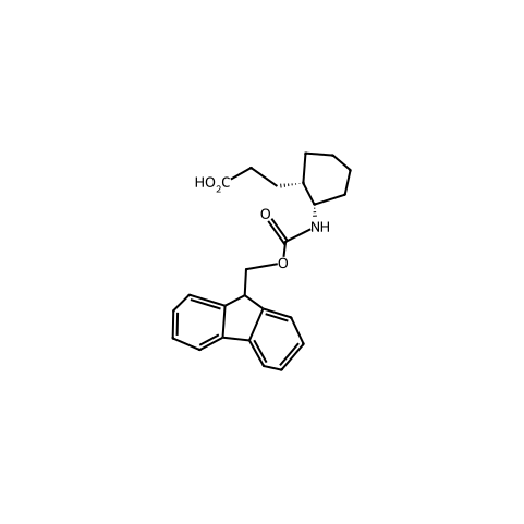 O=C(O)CC[C@@H]1CCCC[C@@H]1NC(=O)OCC1c2ccccc2-c2ccccc21